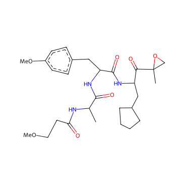 COCCC(=O)NC(C)C(=O)NC(Cc1ccc(OC)cc1)C(=O)NC(CC1CCCC1)C(=O)C1(C)CO1